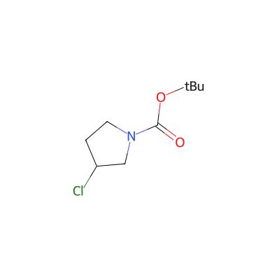 CC(C)(C)OC(=O)N1CCC(Cl)C1